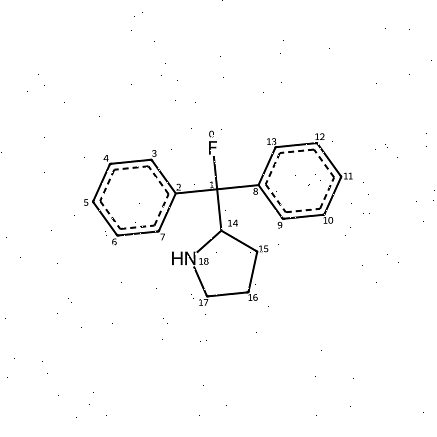 FC(c1ccccc1)(c1ccccc1)C1CCCN1